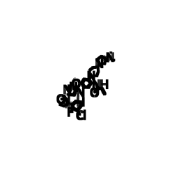 C=CC(=O)Nc1cc(Nc2cc(N3OCC[C@@H]3c3cccc(Cl)c3F)ncn2)c(OC)cc1N1CCC(N2CC[C@@H](N(C)C)C2)CC1